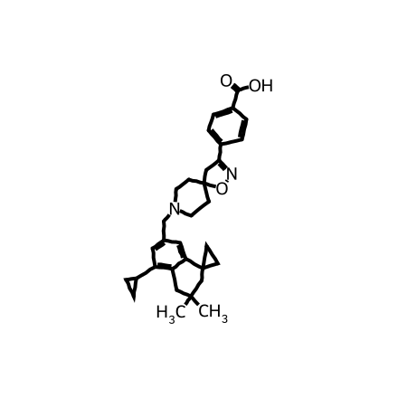 CC1(C)Cc2c(C3CC3)cc(CN3CCC4(CC3)CC(c3ccc(C(=O)O)cc3)=NO4)cc2C2(CC2)C1